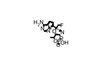 CC1OP(=O)(O)OC[C@H]1O[C@](C#N)(CF)c1ccc2c(N)ncnn12